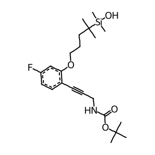 CC(C)(C)OC(=O)NCC#Cc1ccc(F)cc1OCCCC(C)(C)[Si](C)(C)O